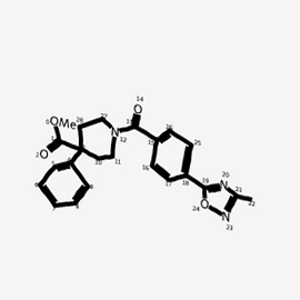 COC(=O)C1(c2ccccc2)CCN(C(=O)c2ccc(-c3nc(C)no3)cc2)CC1